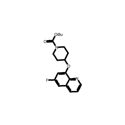 CC(C)COC(=O)N1CCC(Oc2cc(F)cc3cccnc23)CC1